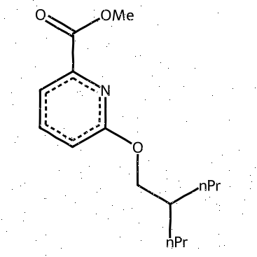 CCCC(CCC)COc1cccc(C(=O)OC)n1